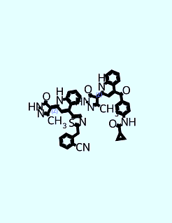 CC1=NNC(=O)/C1=C1/C=C(C(=O)c2ccc(NC(=O)C3CC3)cc2)c2ccccc2N1.CC1=NNC(=O)/C1=C1/C=C(c2cnc(Cc3ccccc3C#N)s2)c2ccccc2N1